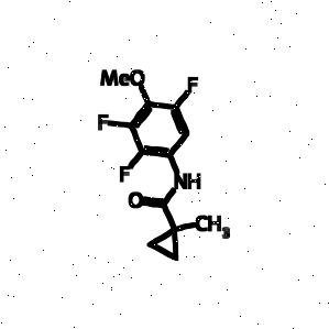 COc1c(F)cc(NC(=O)C2(C)CC2)c(F)c1F